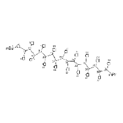 CCCCOC(Cl)C(Cl)C(Cl)C(Cl)C(Cl)C(Cl)C(Cl)C(Cl)C(Cl)C(Cl)C(Cl)C(Cl)C(Cl)C(Cl)C(Cl)C(Cl)C(C)C